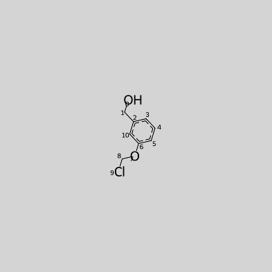 OCc1cccc(OCCl)c1